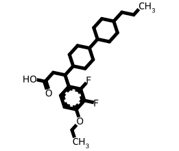 CCCC1CCC(C2CCC(C(CC(=O)O)c3ccc(OCC)c(F)c3F)CC2)CC1